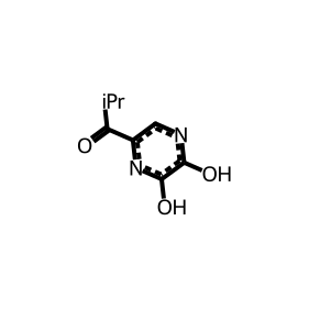 CC(C)C(=O)c1cnc(O)c(O)n1